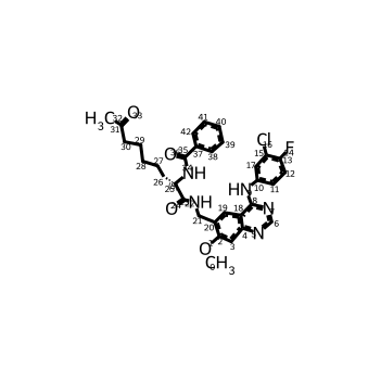 COc1cc2ncnc(Nc3ccc(F)c(Cl)c3)c2cc1CNC(=O)[C@H](CCCCCC(C)=O)NC(=O)c1ccccc1